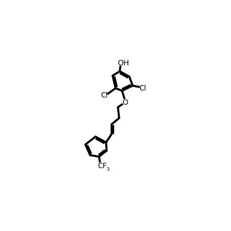 Oc1cc(Cl)c(OCCC=Cc2cccc(C(F)(F)F)c2)c(Cl)c1